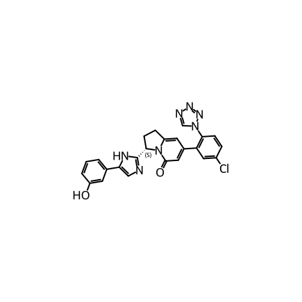 O=c1cc(-c2cc(Cl)ccc2-n2cnnn2)cc2n1[C@H](c1ncc(-c3cccc(O)c3)[nH]1)CC2